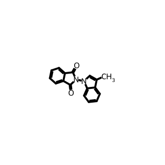 Cc1cn(N2C(=O)c3ccccc3C2=O)c2ccccc12